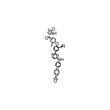 N#Cc1cc(-c2nccc(Nc3ccc(N4CCN(C5COC5)CC4)cc3)n2)ccc1O[C@H]1CCN(C(=O)[C@@H]2CSC(=O)N2)C[C@H]1F